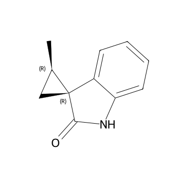 C[C@@H]1C[C@@]12C(=O)Nc1ccccc12